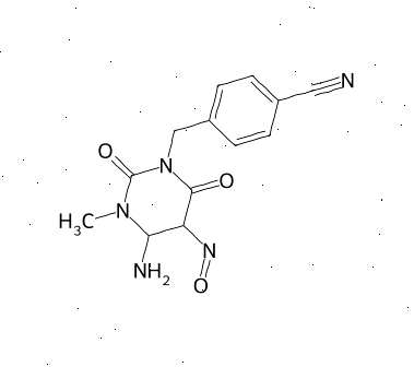 CN1C(=O)N(Cc2ccc(C#N)cc2)C(=O)C(N=O)C1N